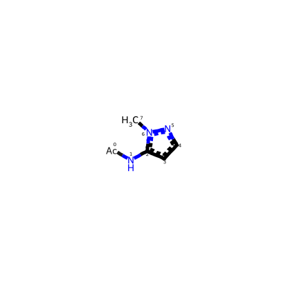 CC(=O)Nc1ccnn1C